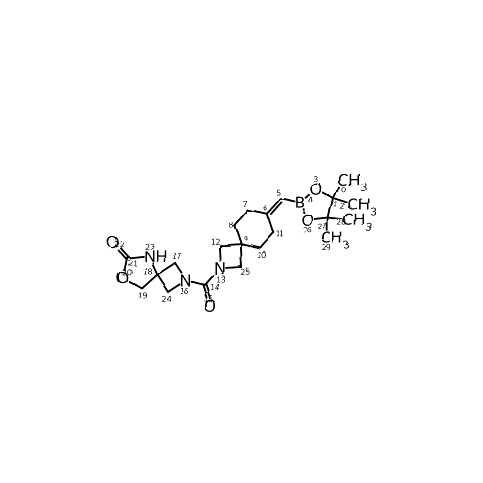 CC1(C)OB(C=C2CCC3(CC2)CN(C(=O)N2CC4(COC(=O)N4)C2)C3)OC1(C)C